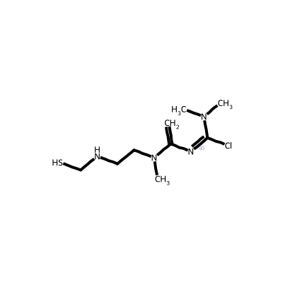 C=C(/N=C(/Cl)N(C)C)N(C)CCNCS